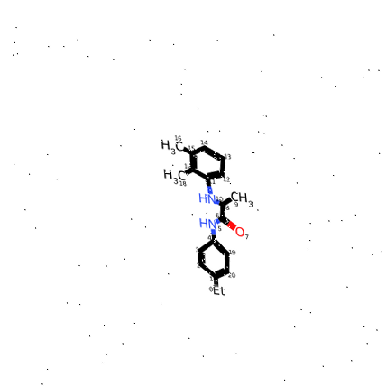 CCc1ccc(NC(=O)C(C)Nc2cccc(C)c2C)cc1